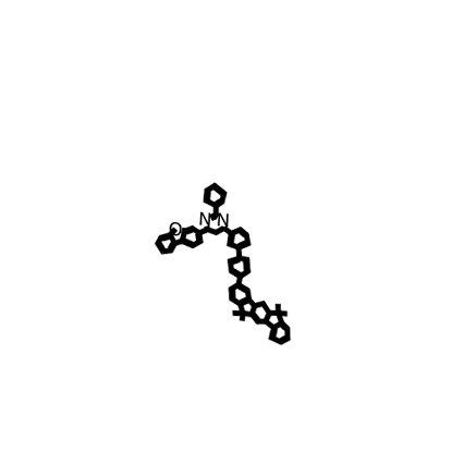 CC1(C)C2=CC3c4ccccc4C(C)(C)C3CC2c2cc(-c3ccc(-c4cccc(C5=NC(c6ccccc6)=NC(c6ccc7c(c6)oc6ccccc67)C5)c4)cc3)ccc21